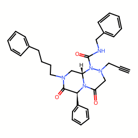 C#CCN1CC(=O)N2[C@@H](c3ccccc3)C(=O)N(CCCCc3ccccc3)C[C@@H]2N1C(=O)NCc1ccccc1